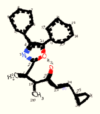 C=C(c1nc(-c2ccccc2)c(-c2ccccc2)o1)C(C)C(=O)/C=C/C1CC1